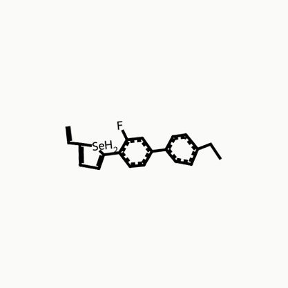 C=CC1=CC=C(c2ccc(-c3ccc(CC)cc3)cc2F)[SeH2]1